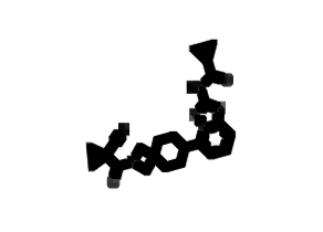 N#CC1(C(=O)N2CC3(CCC(c4cccc5nc(NC(=O)C6CC6)nn45)CC3)C2)CC1